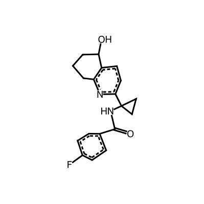 O=C(NC1(c2ccc3c(n2)CCCC3O)CC1)c1ccc(F)cc1